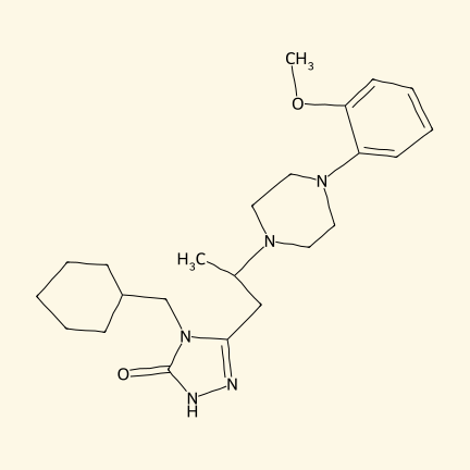 COc1ccccc1N1CCN(C(C)Cc2n[nH]c(=O)n2CC2CCCCC2)CC1